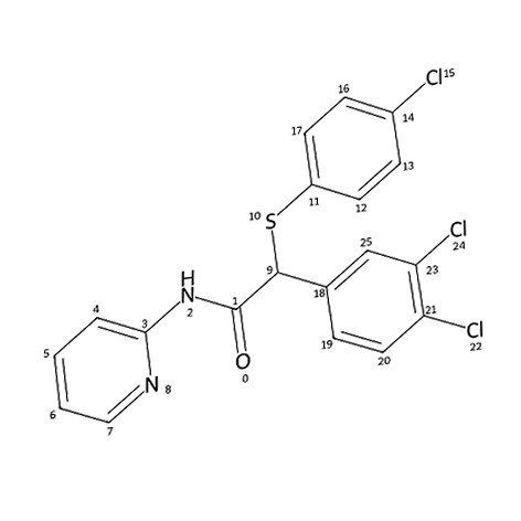 O=C(Nc1ccccn1)C(Sc1ccc(Cl)cc1)c1ccc(Cl)c(Cl)c1